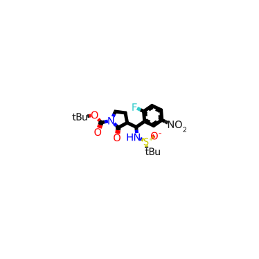 CC(C)(C)OC(=O)N1CCC(C(N[S+]([O-])C(C)(C)C)c2cc([N+](=O)[O-])ccc2F)C1=O